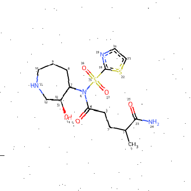 CC(C[CH]C(=O)N(C1CCCNC[C@@H]1O)S(=O)(=O)c1nccs1)C(N)=O